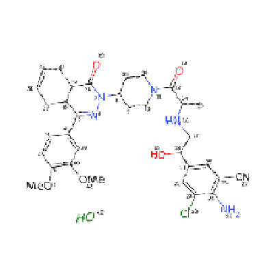 COc1ccc(C2=NN(C3CCN(C(=O)C(C)NCC(O)c4cc(Cl)c(N)c(C#N)c4)CC3)C(=O)C3CC=CCC23)cc1OC.Cl